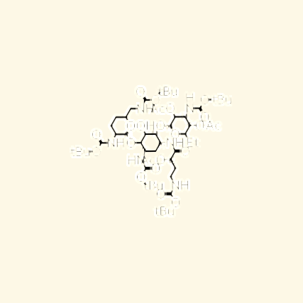 CCC1O[C@H](O[C@@H]2C(O)C(O[C@H]3OC(CNC(=O)OC(C)(C)C)CCC3NC(=O)OC(C)(C)C)[C@H](NC(=O)OC(C)(C)C)C[C@H]2NC(=O)[C@H](CCNC(=O)OC(C)(C)C)OC(C)=O)C(OC(C)=O)[C@@H](NC(=O)OC(C)(C)C)[C@@H]1OC(C)=O